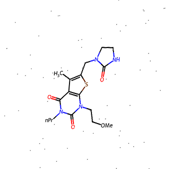 CCCn1c(=O)c2c(C)c(CN3CCNC3=O)sc2n(CCOC)c1=O